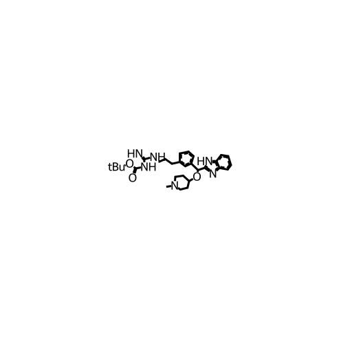 CN1CCC(OC(c2cccc(CCCNC(=N)NC(=O)OC(C)(C)C)c2)c2nc3ccccc3[nH]2)CC1